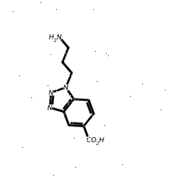 NCCCn1nnc2cc(C(=O)O)ccc21